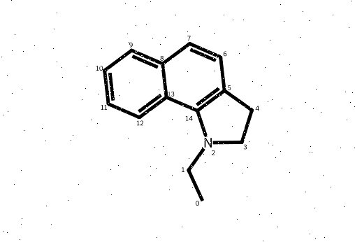 CCN1CCc2ccc3ccccc3c21